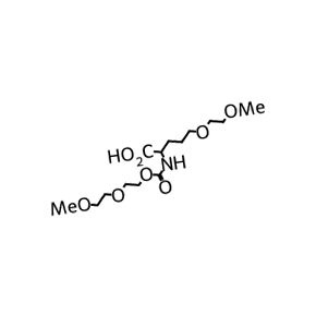 COCCOCCCC(NC(=O)OCCOCCOC)C(=O)O